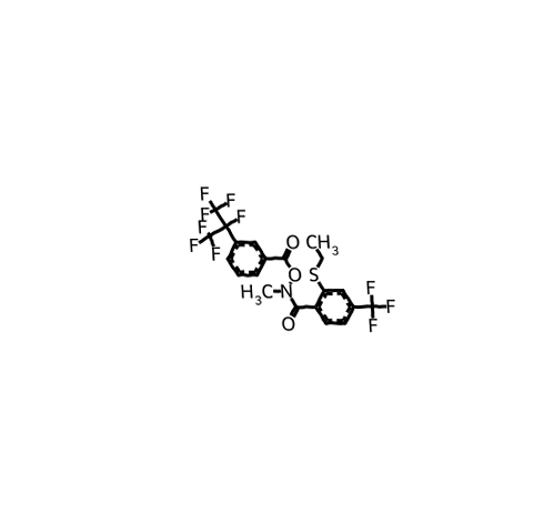 CCSc1cc(C(F)(F)F)ccc1C(=O)N(C)OC(=O)c1cccc(C(F)(C(F)(F)F)C(F)(F)F)c1